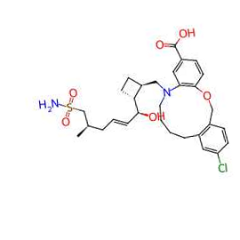 C[C@H](C/C=C/[C@H](O)[C@@H]1CC[C@H]1CN1CCCCc2cc(Cl)ccc2COc2ccc(C(=O)O)cc21)CS(N)(=O)=O